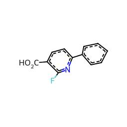 O=C(O)c1ccc(-c2ccccc2)nc1F